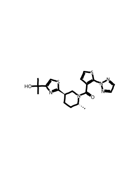 C[C@@H]1CC[C@@H](c2nc(C(C)(C)O)cs2)CN1C(=O)c1ccsc1-n1nccn1